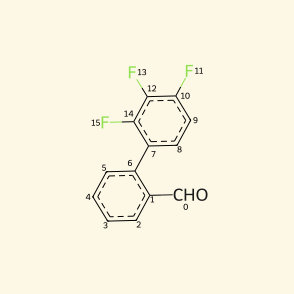 O=Cc1ccccc1-c1ccc(F)c(F)c1F